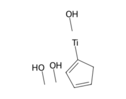 CO.CO.CO.[Ti][C]1=CC=CC1